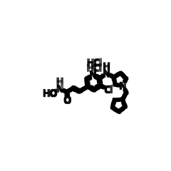 Cl.Cl.O=C(/C=C/c1cnc(NC2CCN(CC3CCCC3)C2)c(Cl)c1)NO